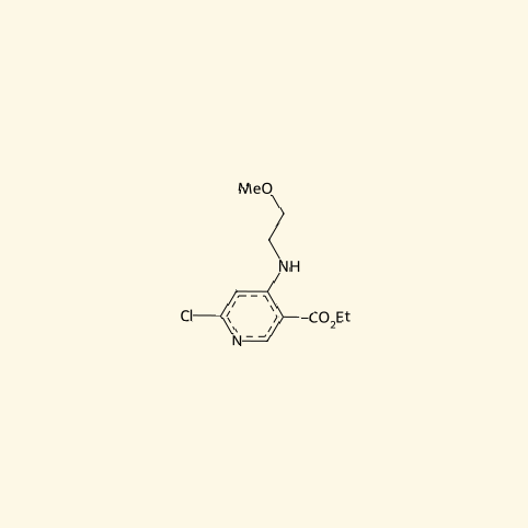 CCOC(=O)c1cnc(Cl)cc1NCCOC